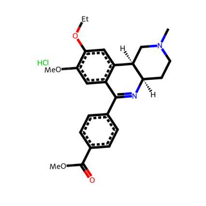 CCOc1cc2c(cc1OC)C(c1ccc(C(=O)OC)cc1)=N[C@@H]1CCN(C)C[C@H]21.Cl